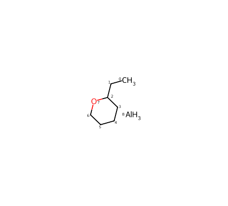 CCC1CCCCO1.[AlH3]